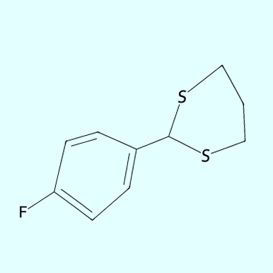 Fc1ccc(C2SCCCS2)cc1